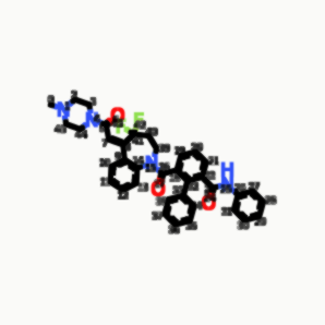 CN1CCN(C(=O)C=C2c3ccccc3N(C(=O)c3cccc(C(=O)Nc4ccccc4)c3-c3ccccc3)CCC2(F)F)CC1